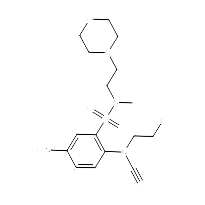 C#CN(CCBr)c1ccc([N+](=O)[O-])cc1S(=O)(=O)N(C)CCN1CCOCC1